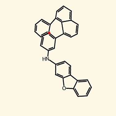 c1ccc(-c2cccc3cccc(-c4cccc(Nc5ccc6c(c5)oc5ccccc56)c4)c23)cc1